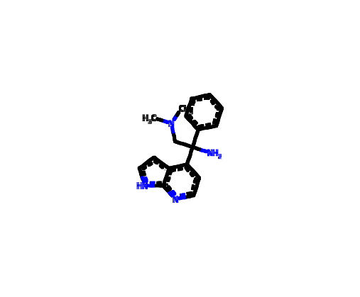 CN(C)CC(N)(c1ccccc1)c1ccnc2[nH]ccc12